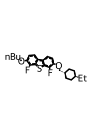 CCCCOc1ccc2c(sc3c(F)c(OC[C@H]4CC[C@H](CC)CC4)ccc32)c1F